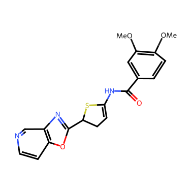 COc1ccc(C(=O)NC2=CCC(c3nc4cnccc4o3)S2)cc1OC